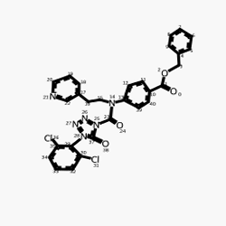 O=C(OCc1ccccc1)c1ccc(N(CCc2cccnc2)C(=O)n2nnn(-c3c(Cl)cccc3Cl)c2=O)cc1